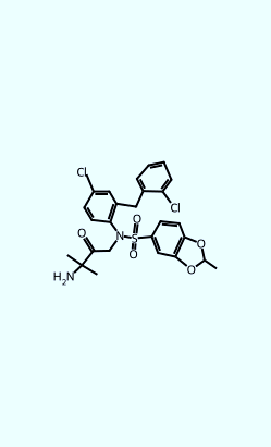 CC1Oc2ccc(S(=O)(=O)N(CC(=O)C(C)(C)N)c3ccc(Cl)cc3Cc3ccccc3Cl)cc2O1